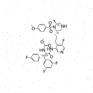 COC(=O)N[C@H](C(=O)Nc1cncc(F)c1CCC[C@H]1CNC[C@H](C)N1S(=O)(=O)c1ccc(OC)cc1)[C@@H](c1ccc(F)cc1)c1cc(F)cc(F)c1